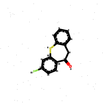 O=C1Cc2ccccc2Sc2cc(F)ccc21